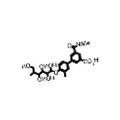 CNC(=O)c1cc(C(=O)O)cc(-c2ccc(OC(O)C(O)C(O)C(O)C(C)CO)c(C)c2)c1